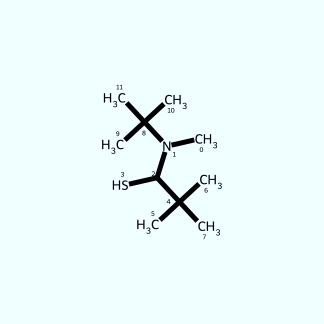 CN(C(S)C(C)(C)C)C(C)(C)C